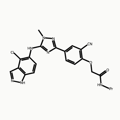 CC(C)NC(=O)COc1ccc(-c2nc(Nc3ccc4[nH]ncc4c3Cl)n(C)n2)cc1C#N